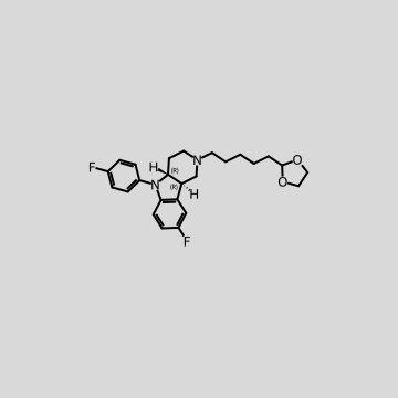 Fc1ccc(N2c3ccc(F)cc3[C@@H]3CN(CCCCCC4OCCO4)CC[C@H]32)cc1